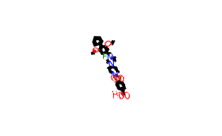 CCOC1=CC(F)(CN2CCN(C3CCN(S(=O)(=O)c4ccc(C(=O)O)cc4)CC3)CC2)CC(OCC)=C1c1ccccc1